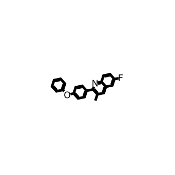 Cc1cc2cc(F)ccc2nc1-c1ccc(Oc2ccccc2)cc1